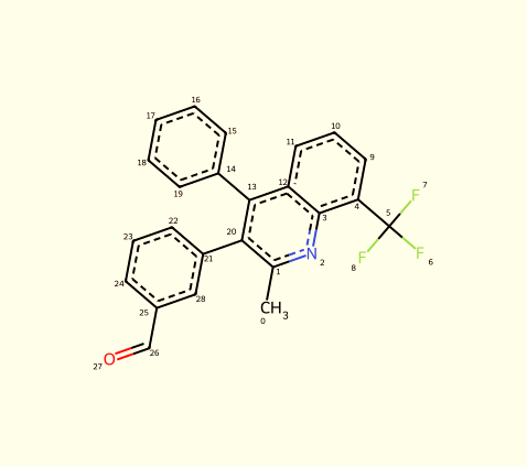 Cc1nc2c(C(F)(F)F)cccc2c(-c2ccccc2)c1-c1cccc(C=O)c1